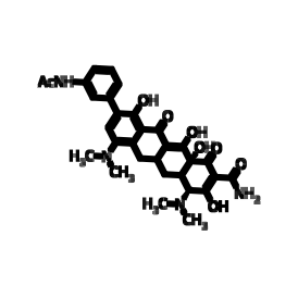 CC(=O)Nc1cccc(-c2cc(N(C)C)c3c(c2O)C(=O)C2=C(O)[C@]4(O)C(=O)C(C(N)=O)=C(O)[C@@H](N(C)C)C4CC2C3)c1